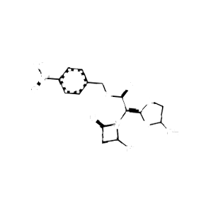 O=C(OCc1ccc([N+](=O)[O-])cc1)C(=C1SCC(O)S1)N1C(=O)CC1Br